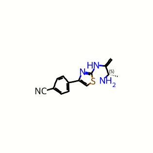 C=C(Nc1nc(-c2ccc(C#N)cc2)cs1)[C@H](C)N